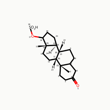 C[C@]12CCC(=O)CC1CC[C@@H]1[C@H]2CC[C@]2(C)C(OS(=O)(=O)O)CC[C@@H]12